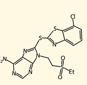 CCS(=O)(=O)CCn1c(Sc2nc3cccc(Cl)c3s2)nc2c(N)ncnc21